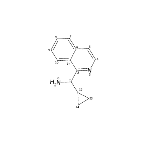 NC(c1nccc2ccccc12)C1CC1